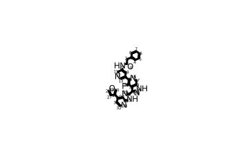 O=C(Cc1ccccc1)Nc1cncc(-c2ncc3[nH]nc(-c4nc5c(-c6ccoc6)ccnc5[nH]4)c3c2F)c1